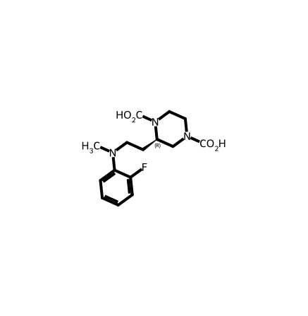 CN(CC[C@@H]1CN(C(=O)O)CCN1C(=O)O)c1ccccc1F